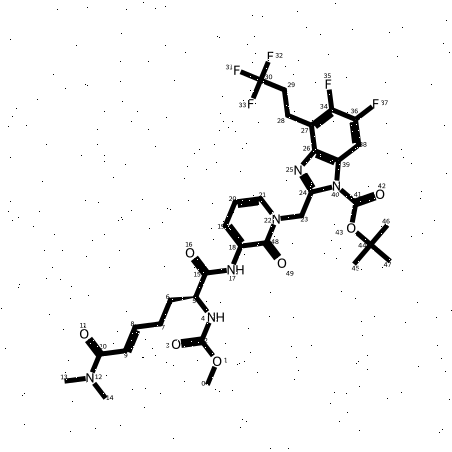 COC(=O)N[C@@H](CC/C=C/C(=O)N(C)C)C(=O)Nc1cccn(Cc2nc3c(CCC(F)(F)F)c(F)c(F)cc3n2C(=O)OC(C)(C)C)c1=O